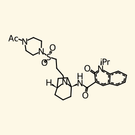 CC(=O)N1CCN(S(=O)(=O)CCCN2[C@@H]3CCC[C@@]2(NC(=O)c2cc4ccccc4n(C(C)C)c2=O)CC3)CC1